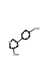 COc1cncc(-c2ccc(C=O)cc2)c1